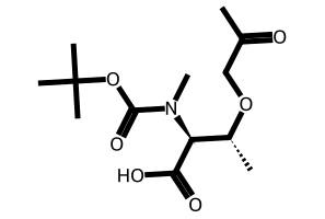 CC(=O)CO[C@H](C)[C@@H](C(=O)O)N(C)C(=O)OC(C)(C)C